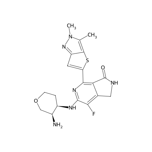 Cc1c2sc(-c3nc(N[C@@H]4CCOC[C@@H]4N)c(F)c4c3C(=O)NC4)cc2nn1C